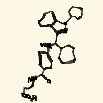 O=C(O)CCNC(=O)c1ccc(NC(c2nn(C3CCCCC3)c3ccccc23)C2CCCCC2)cc1